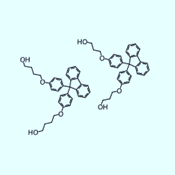 OCCCCOc1ccc(C2(c3ccc(OCCCCO)cc3)c3ccccc3-c3ccccc32)cc1.OCCCOc1ccc(C2(c3ccc(OCCCO)cc3)c3ccccc3-c3ccccc32)cc1